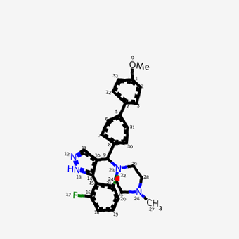 COc1ccc(-c2ccc(C(c3cn[nH]c3-c3c(F)cccc3F)N3CCN(C)CC3)cc2)cc1